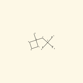 CC1(CC(F)(F)F)CCC1